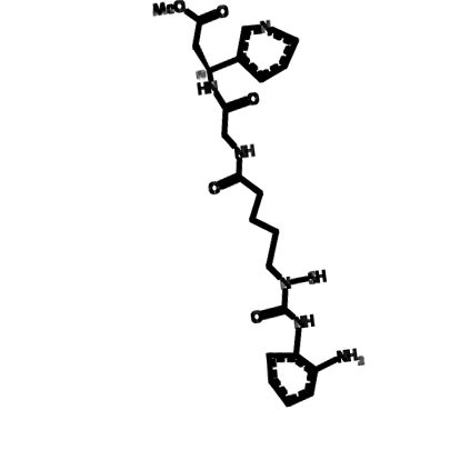 COC(=O)C[C@H](NC(=O)CNC(=O)CCCCN(S)C(=O)Nc1ccccc1N)c1cccnc1